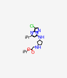 CC(C)OC(=O)CN[C@@H]1CC[C@@H](Nc2cc(C(C)C)nc3c(Cl)cnn23)C1